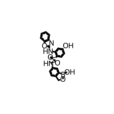 O=S(=O)(Nc1ccc2c(c1)B(O)OC2)c1ccc(O)cc1Nc1nc2ccccc2o1